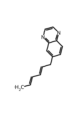 [CH2]C=CC=CCc1ccc2nccnc2c1